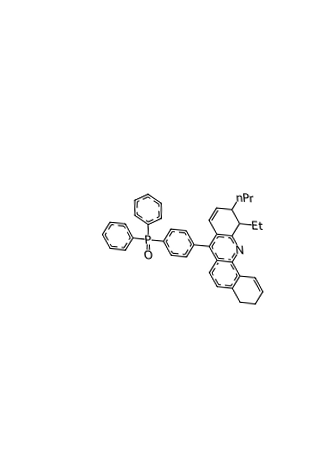 CCCC1C=Cc2c(nc3c4c(ccc3c2-c2ccc(P(=O)(c3ccccc3)c3ccccc3)cc2)CCC=C4)C1CC